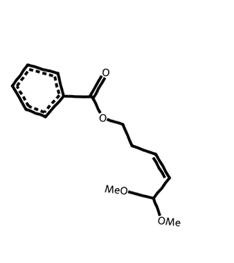 COC(/C=C\CCOC(=O)c1ccccc1)OC